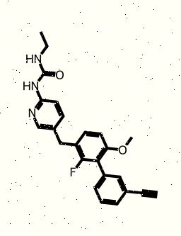 C#Cc1cccc(-c2c(OC)ccc(Cc3ccc(NC(=O)NCC)nc3)c2F)c1